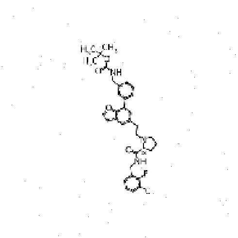 CC(C)(C)OC(=O)NCc1cccc(-c2cc(CCN3CCC[C@H]3C(=O)NCc3cccc(Cl)c3F)cc3ccoc23)c1